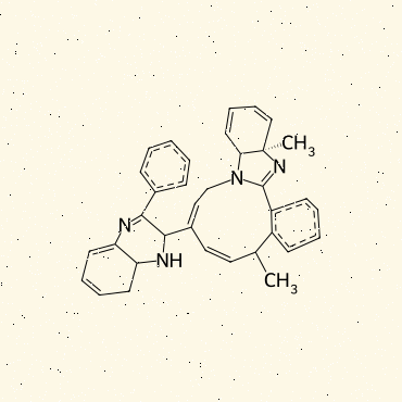 CC1/C=C\C(C2NC3CC=CC=C3N=C2c2ccccc2)=C/CN2C(=N[C@]3(C)C=CC=CC23)c2ccccc21